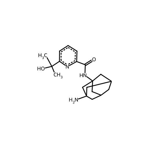 CC(C)(O)c1cccc(C(=O)NC23CC4CC(CC(N)(C4)C2)C3)n1